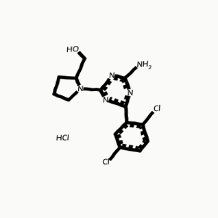 Cl.Nc1nc(-c2cc(Cl)ccc2Cl)nc(N2CCCC2CO)n1